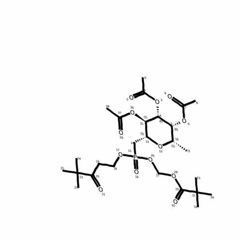 CC(=O)O[C@@H]1[C@H](OC(C)=O)[C@H](C)O[C@H](CP(=O)(OCCC(=O)C(C)(C)C)OCOC(=O)C(C)(C)C)[C@H]1OC(C)=O